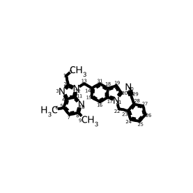 CCc1nc2c(C)cc(C)nc2n1Cc1ccc2c(ccn2Cc2ccccc2C#N)c1